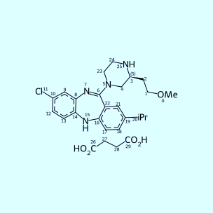 COCC[C@H]1CN(C2=Nc3cc(Cl)ccc3Nc3ccc(C(C)C)cc32)CCN1.O=C(O)CCC(=O)O